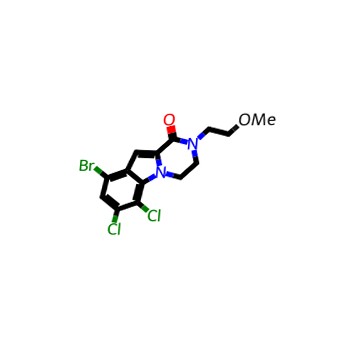 COCCN1CCn2c(cc3c(Br)cc(Cl)c(Cl)c32)C1=O